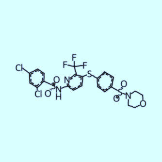 O=S(=O)(Nc1ccc(Sc2ccc(S(=O)(=O)N3CCOCC3)cc2)c(C(F)(F)F)n1)c1ccc(Cl)cc1Cl